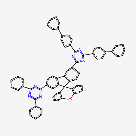 c1ccc(-c2ccc(-c3nc(-c4ccc(-c5ccccc5)cc4)nc(-c4ccc5c(c4)-c4ccc(-c6nc(-c7ccccc7)nc(-c7ccccc7)n6)cc4C54c5ccccc5Oc5ccccc54)n3)cc2)cc1